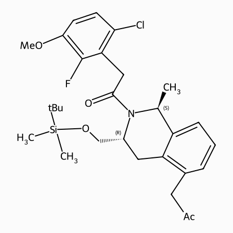 COc1ccc(Cl)c(CC(=O)N2[C@@H](CO[Si](C)(C)C(C)(C)C)Cc3c(CC(C)=O)cccc3[C@@H]2C)c1F